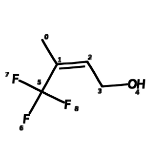 C/C(=C/CO)C(F)(F)F